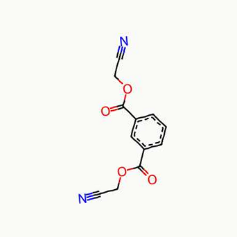 N#CCOC(=O)c1cccc(C(=O)OCC#N)c1